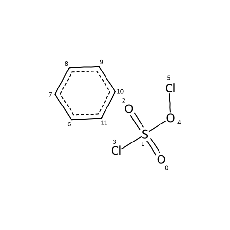 O=S(=O)(Cl)OCl.c1ccccc1